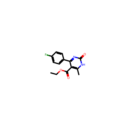 CCOC(=O)c1c(-c2ccc(F)cc2)nc(=O)[nH]c1C